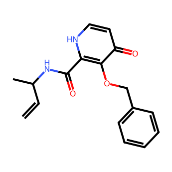 C=CC(C)NC(=O)c1[nH]ccc(=O)c1OCc1ccccc1